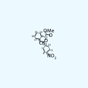 COC(=O)C(OSc1ccc([N+](=O)[O-])cc1)c1ccccc1Cl